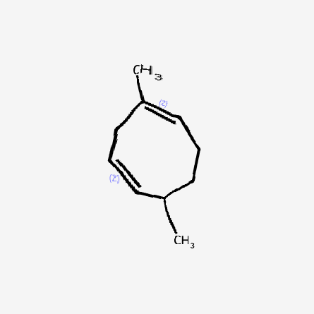 C/C1=C/CCC(C)/C=C\C1